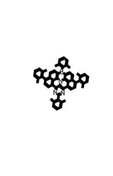 Cc1cccc(C)c1B1c2ccc3c(-c4c(C)cccc4C)ccc4c3c2N2c3c-4nc(-c4c(C)cccc4C)nc3-c3ccc(-c4c(C)cccc4C)c4ccc1c2c34